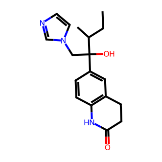 CCC(C)C(O)(Cn1ccnc1)c1ccc2c(c1)CCC(=O)N2